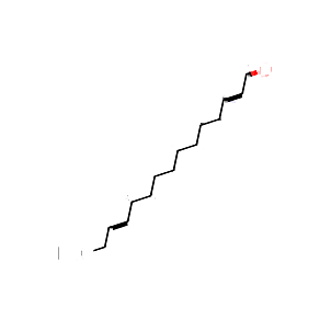 CC/C=C/CCCCCCCC/C=C/C=O